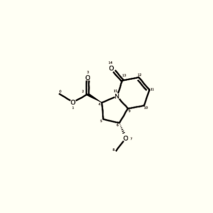 COC(=O)[C@@H]1C[C@@H](OC)C2CC=CC(=O)N21